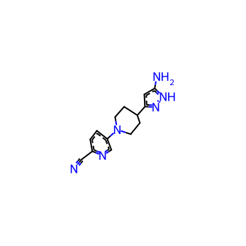 N#Cc1ccc(N2CCC(c3cc(N)[nH]n3)CC2)cn1